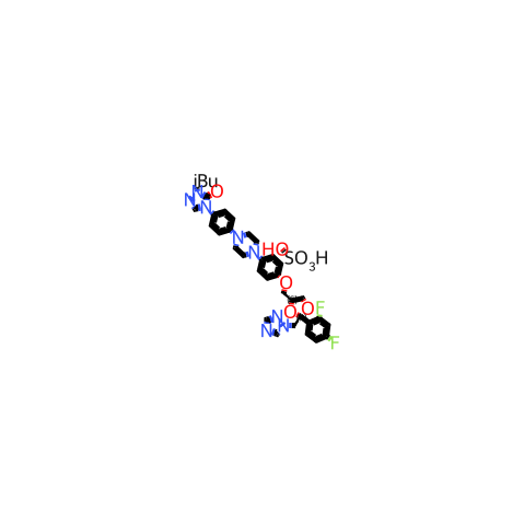 CCC(C)n1ncn(-c2ccc(N3CCN(c4ccc(OC[C@H]5CO[C@](Cn6cncn6)(c6ccc(F)cc6F)O5)cc4)CC3)cc2)c1=O.O=S(=O)(O)O